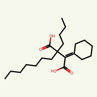 CCCCCCCC(CCCC)(C(=O)O)C(C(=O)O)=C1CCCCC1